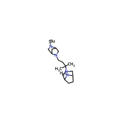 CN1C2CCC1CN(C(C)(C)CCN1CC3CC1CN3C(C)(C)C)C2